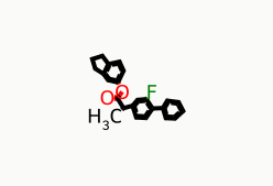 CC(C(=O)Oc1ccc2c(c1)CCC2)c1ccc(-c2ccccc2)c(F)c1